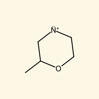 CC1C[N+]CCO1